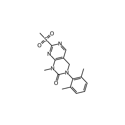 Cc1cccc(C)c1N1Cc2cnc(S(C)(=O)=O)nc2N(C)C1=O